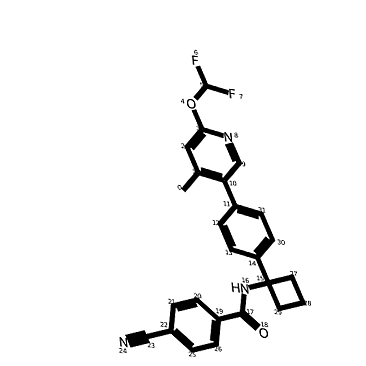 Cc1cc(OC(F)F)ncc1-c1ccc(C2(NC(=O)c3ccc(C#N)cc3)CCC2)cc1